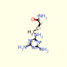 C=C=CC(N)=O.Nc1nc(N)nc(N)n1